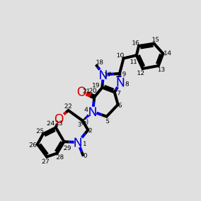 CN1C[C@H](N2CCc3nc(Cc4ccccc4)n(C)c3C2=O)COc2ccccc21